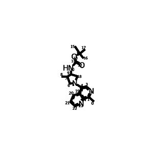 Cc1ncc(N2CC(C)C(NC(=O)OC(C)(C)C)C2)c2cccnc12